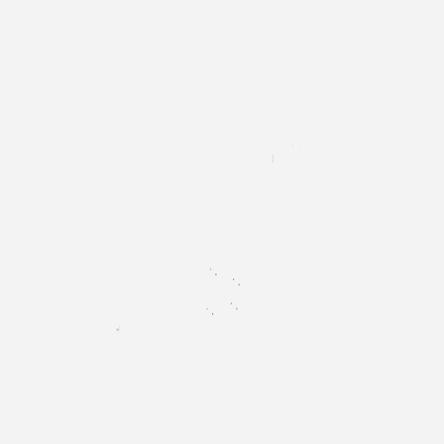 COP(=O)(Cc1ccc(Cn2nnc(-c3cccc(Br)c3)n2)cc1)OC